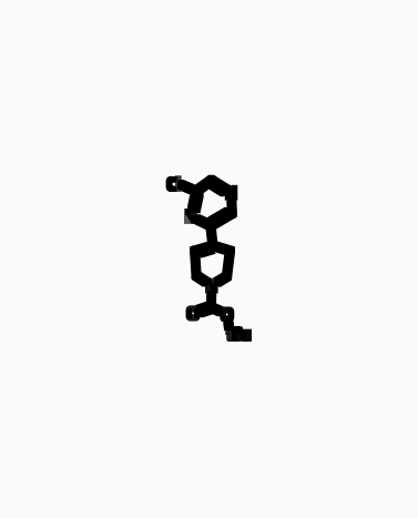 CC(C)(C)OC(=O)N1CC=C(c2cncc(Cl)n2)CC1